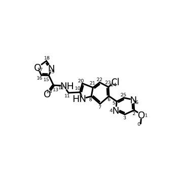 COc1cnc(-c2cc3[nH]c(CNC(=O)c4cocn4)cc3cc2Cl)cn1